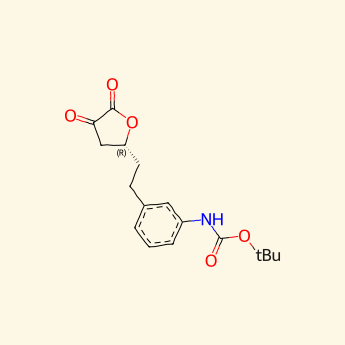 CC(C)(C)OC(=O)Nc1cccc(CC[C@@H]2CC(=O)C(=O)O2)c1